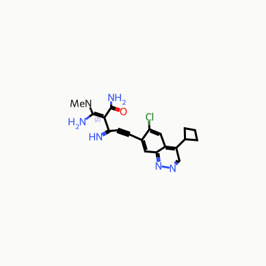 CN/C(N)=C(/C(=N)C#Cc1cc2nncc(C3CCC3)c2cc1Cl)C(N)=O